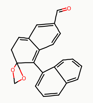 O=Cc1ccc2c(c1)=CCC1(OCO1)C=2c1cccc2ccccc12